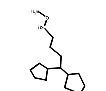 [SiH3]O[SiH]CCCC(C1CCCC1)C1CCCC1